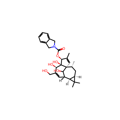 CC1=C[C@]23C(O)[C@@H](C=C(CO)[C@@H](O)[C@]2(O)[C@H]1OC(=O)N1Cc2ccccc2C1)[C@H]1[C@@H](C[C@H]3C)C1(C)C